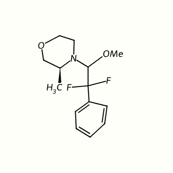 COC(N1CCOC[C@@H]1C)C(F)(F)c1ccccc1